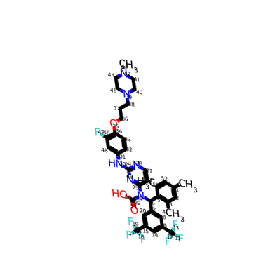 Cc1cc(C)c(C(c2cc(C(F)(F)F)cc(C(F)(F)F)c2)N(C(=O)O)c2ccnc(Nc3ccc(OCCCN4CCN(C)CC4)c(F)c3)n2)c(C)c1